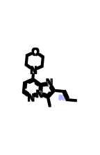 C/C=C/c1nc2c(N3CCOCC3)ccnn2c1C